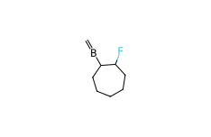 C=BC1CCCCCC1F